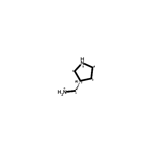 NC[C@H]1CCNC1